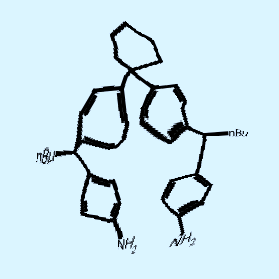 CCCCC(c1ccc(N)cc1)c1ccc(C2(c3ccc(C(CCCC)c4ccc(N)cc4)cc3)CCCCC2)cc1